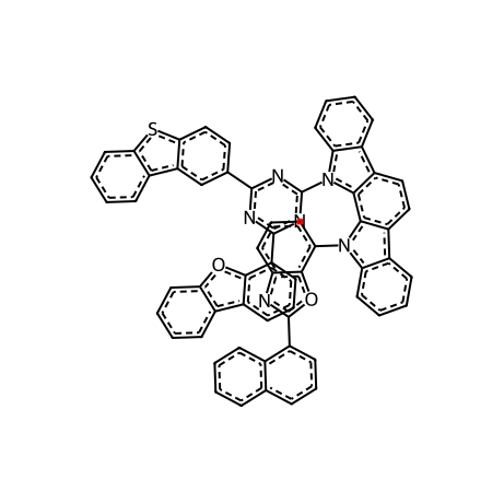 c1ccc2c(-c3nc4cccc(-n5c6ccccc6c6ccc7c8ccccc8n(-c8nc(-c9ccc%10sc%11ccccc%11c%10c9)nc(-c9cccc%10c9oc9ccccc9%10)n8)c7c65)c4o3)cccc2c1